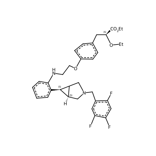 CCOC(=O)[C@H](Cc1ccc(OCCNc2ccccc2[C@H]2C3CN(Cc4cc(F)c(F)cc4F)C[C@H]32)cc1)OCC